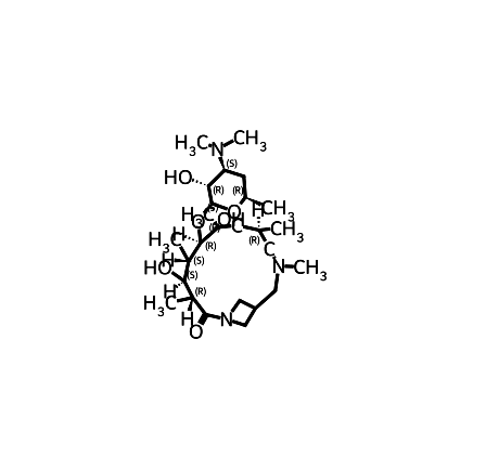 C[C@H]1CN(C)CC2CN(C2)C(=O)[C@H](C)[C@@H](O)[C@H](C)[C@@H](O[C@@H]2O[C@H](C)C[C@H](N(C)C)[C@H]2O)[C@](C)(O)C1